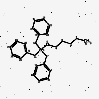 CCCCC[O][Zr]([CH2]c1ccccc1)([CH2]c1ccccc1)[CH2]c1ccccc1